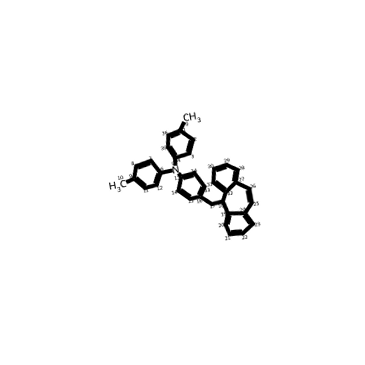 Cc1ccc(N(c2ccc(C)cc2)c2ccc(CC3c4ccccc4C=Cc4ccccc43)cc2)cc1